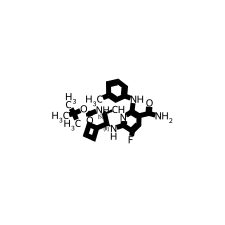 Cc1cccc(Nc2nc(N[C@H](C3CCC3)[C@H](C)NC(=O)OC(C)(C)C)c(F)cc2C(N)=O)c1